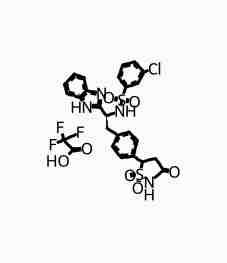 O=C(O)C(F)(F)F.O=C1CC(c2ccc(C[C@H](NS(=O)(=O)c3cccc(Cl)c3)c3nc4ccccc4[nH]3)cc2)S(=O)(=O)N1